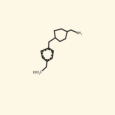 CCOC(=O)Cc1ccc(CC2CCC(CN)CC2)cc1